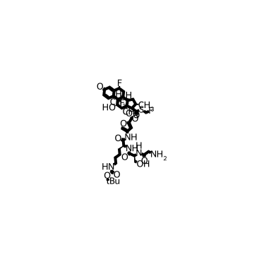 C[C@@H]1C[C@H]2[C@@H]3C[C@H](F)C4=CC(=O)C=C[C@]4(C)[C@@]3(F)[C@@H](O)C[C@]2(C)[C@]1(OC(=O)c1cc(NC(=O)[C@H](CCCCNC(=O)OC(C)(C)C)NC(=O)[C@H](CO)NC(=O)CN)co1)C(=O)SCF